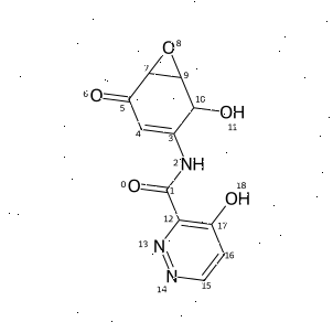 O=C(NC1=CC(=O)C2OC2C1O)c1nnccc1O